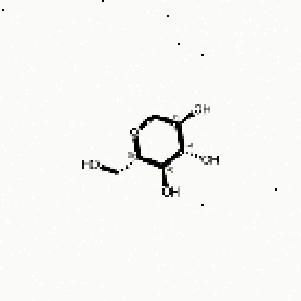 OC[C@@H]1OC[C@@H](O)[C@H](O)[C@H]1O